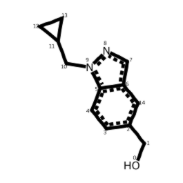 OCc1ccc2c(cnn2CC2CC2)c1